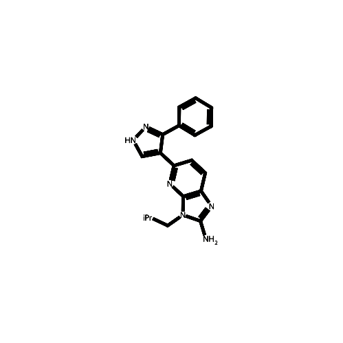 CC(C)Cn1c(N)nc2ccc(-c3c[nH]nc3-c3ccccc3)nc21